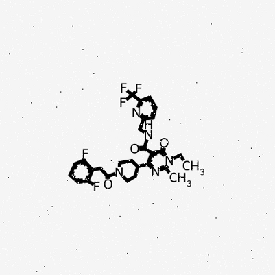 CCn1c(C)nc(C2CCN(C(=O)Cc3c(F)cccc3F)CC2)c(C(=O)NCc2cccc(C(F)(F)F)n2)c1=O